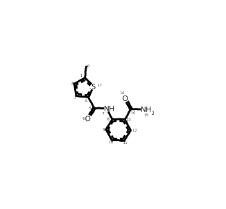 Cc1ccc(C(=O)Nc2ccccc2C(N)=O)s1